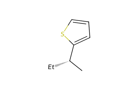 CC[C@@H](C)c1cccs1